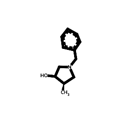 C[C@@H]1CN(Cc2ccccc2)CC1O